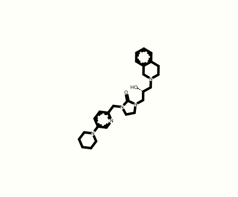 O=C1N(Cc2ccc(N3CCCCC3)cn2)CCN1C[C@H](O)CN1CCc2ccccc2C1